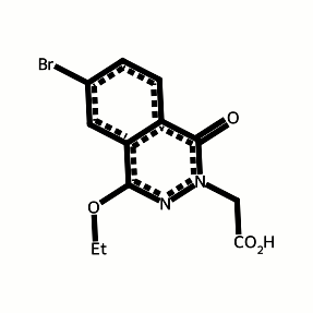 CCOc1nn(CC(=O)O)c(=O)c2ccc(Br)cc12